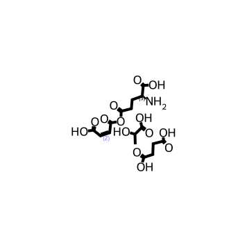 CC(O)C(=O)O.N[C@@H](CCC(=O)OC(=O)/C=C\C(=O)O)C(=O)O.O=C(O)CCC(=O)O